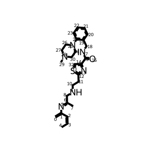 C=C(/C=C\C)/N=C(\C)CNCCc1nc(C(=O)NCc2ccccc2N2CCN(C)CC2)cs1